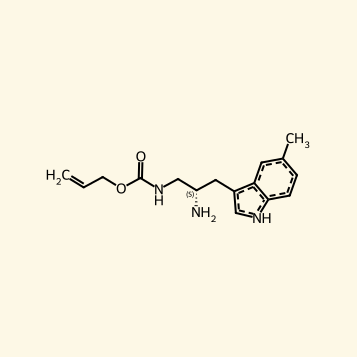 C=CCOC(=O)NC[C@@H](N)Cc1c[nH]c2ccc(C)cc12